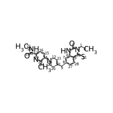 CCn1c(=O)[nH]c2cc(CC3=CCN(c4ccc(C(=O)NC)nc4C)CC3)ccc2c1=S